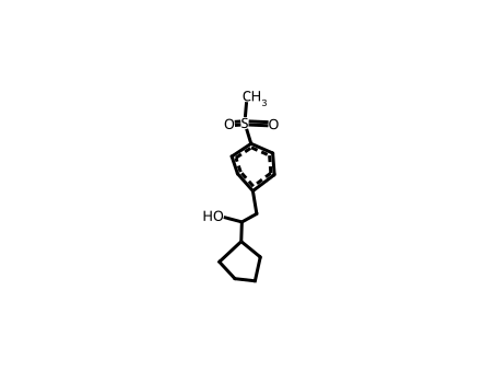 CS(=O)(=O)c1ccc(CC(O)C2CCCC2)cc1